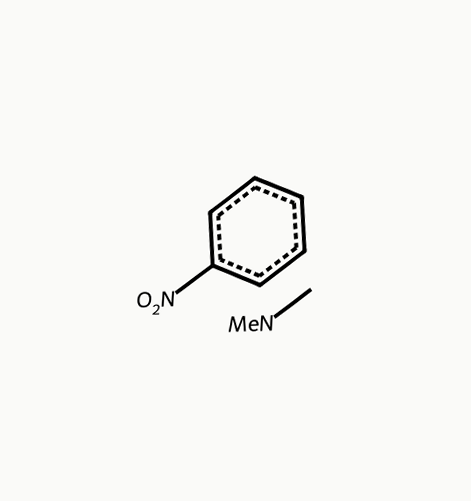 CNC.O=[N+]([O-])c1ccccc1